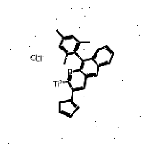 Cc1cc(C)c(-c2c3b[c]([Ti+2])c(C4=CC=CC4)cc3cc3ccccc23)c(C)c1.[Cl-].[Cl-]